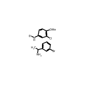 CC(N)c1cccc(Br)c1.CCNc1ccc(OC)c(Cl)c1